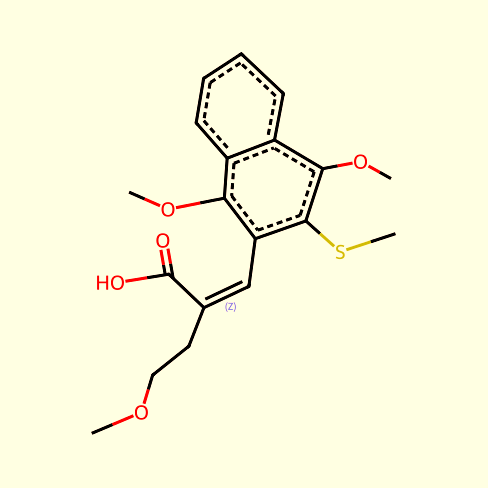 COCC/C(=C/c1c(SC)c(OC)c2ccccc2c1OC)C(=O)O